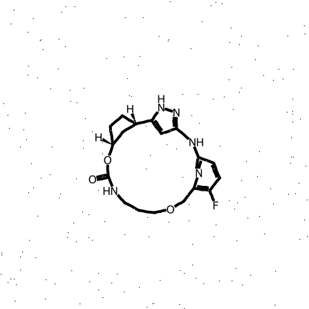 O=C1NCCCOCc2nc(ccc2F)Nc2cc([nH]n2)[C@H]2CC[C@H](C2)O1